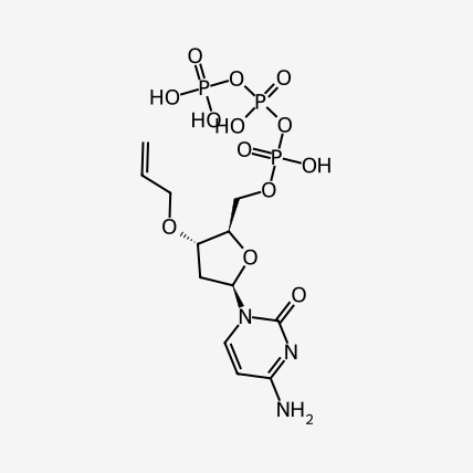 C=CCO[C@H]1C[C@H](n2ccc(N)nc2=O)O[C@@H]1COP(=O)(O)OP(=O)(O)OP(=O)(O)O